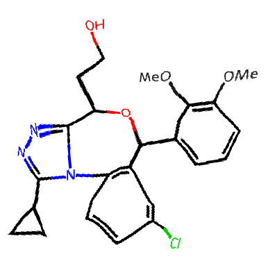 COc1cccc(C2OC(CCO)c3nnc(C4CC4)n3-c3ccc(Cl)cc32)c1OC